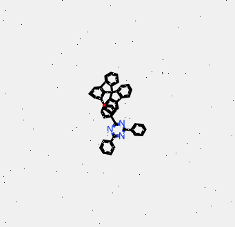 c1ccc(-c2nc(-c3ccccc3)nc(-c3ccc(-c4cccc5c4C4(c6ccccc6-c6ccccc64)c4ccccc4-5)cc3)n2)cc1